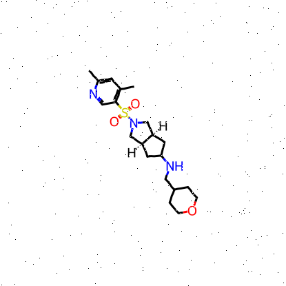 Cc1cc(C)c(S(=O)(=O)N2C[C@H]3CC(NCC4CCOCC4)C[C@H]3C2)cn1